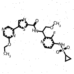 CCOc1cncc(-c2cnc(C(=O)NC(COC)c3nccc(NS(=O)(=O)C4CC4)c3F)s2)n1